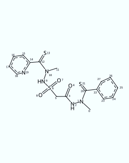 CN(NC(=O)CS(=O)(=O)NN(C)C(=S)c1ccccn1)C(=S)c1ccccc1